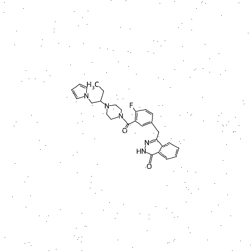 CCC(Cn1cccc1)N1CCN(C(=O)c2cc(Cc3n[nH]c(=O)c4ccccc34)ccc2F)CC1